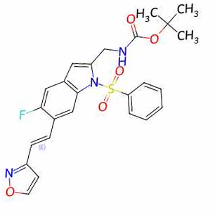 CC(C)(C)OC(=O)NCc1cc2cc(F)c(/C=C/c3ccon3)cc2n1S(=O)(=O)c1ccccc1